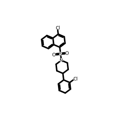 O=S(=O)(c1ccc(Cl)c2ccccc12)N1CCC(C2C=CCC=C2Cl)CC1